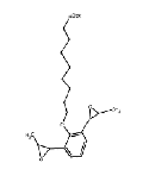 CCCCCCCCCCCCCCCCCCOc1c(C2OC2C)cccc1C1OC1C